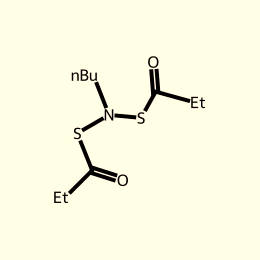 CC[CH]CN(SC(=O)CC)SC(=O)CC